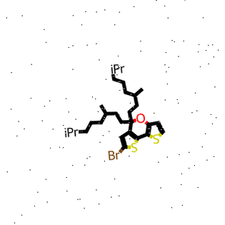 CC(C)CCCC(C)CCC1(CCC(C)CCCC(C)C)Oc2ccsc2-c2sc(Br)cc21